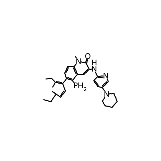 CC/C(C)=C(/C=C\C(C)CC)c1ccc2c(cc(Nc3ccc(N4CCCCC4)cn3)c(=O)n2C)c1P